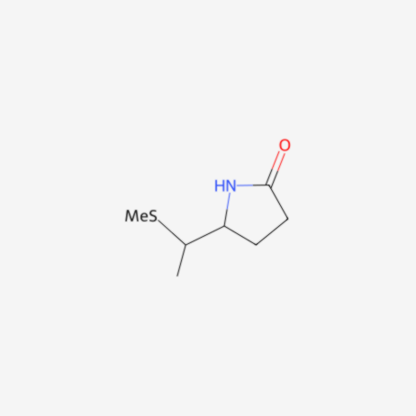 CSC(C)C1CCC(=O)N1